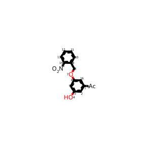 CC(=O)c1cc(O)cc(OCc2ccccc2[N+](=O)[O-])c1